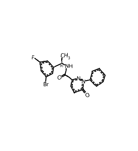 C[C@@H](NC(=O)c1ccc(=O)n(-c2ccccc2)n1)c1cc(F)cc(Br)c1